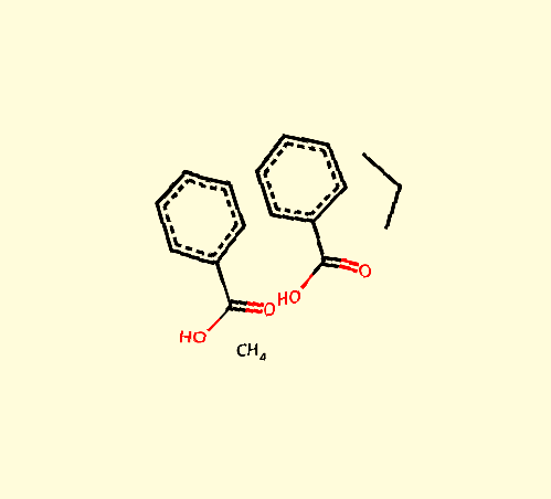 C.CCC.O=C(O)c1ccccc1.O=C(O)c1ccccc1